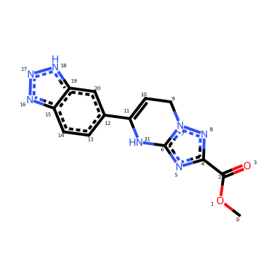 COC(=O)c1nc2n(n1)CC=C(c1ccc3nn[nH]c3c1)N2